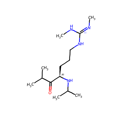 C/N=C(\NC)NCCC[C@@H](NC(C)C)C(=O)C(C)C